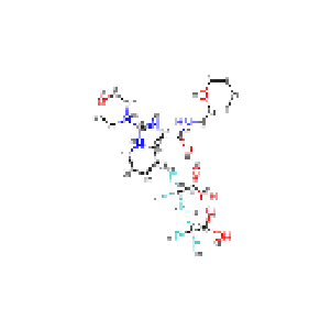 O=C(NCC1CCCCO1)c1nc(N2CCOCC2)n2ccccc12.O=C(O)C(F)(F)F.O=C(O)C(F)(F)F